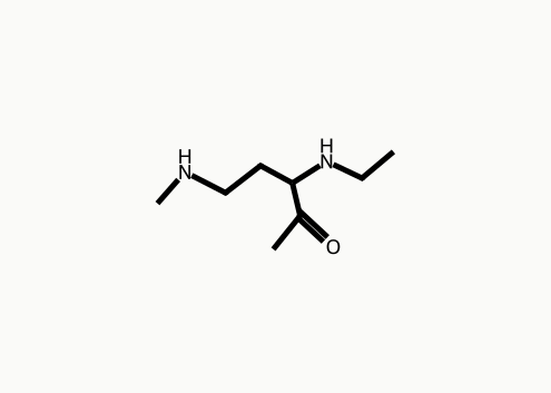 CCNC(CCNC)C(C)=O